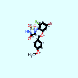 COc1ccc(COc2cc(Br)cc(F)c2N2CC(=O)NS2(=O)=O)cc1